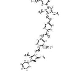 Cc1nn(-c2cccc(S(=O)(=O)O)c2)c(N)c1/N=N/c1ccc(C(=O)Nc2ccc(/N=N/c3c(C)nn(-c4ccccc4)c3N)c(S(=O)(=O)O)c2)cc1